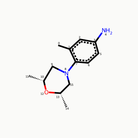 Cc1cc(N)ccc1N1C[C@@H](C)O[C@@H](C)C1